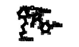 CCCCCCCCCC=CCCc1ccccc1C1=CC=C(c2cccc(CCCC)c2)[N+]1=[N-].C[O][Pd][O]C